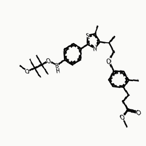 COC(=O)CCc1ccc(OCC(C)c2nc(-c3ccc(BOC(C)(C)C(C)(C)OC)cc3)sc2C)cc1C